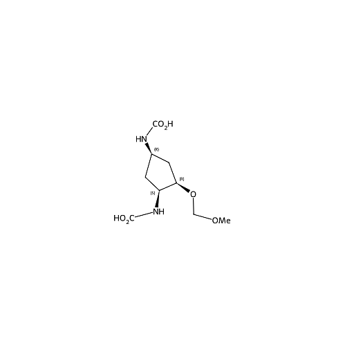 COCO[C@@H]1C[C@H](NC(=O)O)C[C@@H]1NC(=O)O